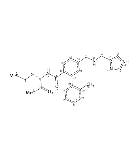 COC(=O)[C@H](CCSC)NC(=O)c1ccc(CNCc2c[nH]cn2)cc1-c1ccccc1C